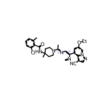 C=N/C(=C\N=C(/C)N1CCC(C)(NC(=O)c2c(C)cccc2Cl)CC1)c1cc(OCC)cn2ncc(C#N)c12